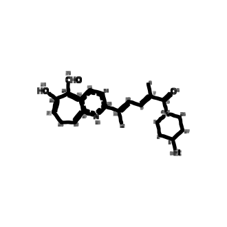 CCC1CCN(C(=O)/C(C)=C/C=C(\C)c2ccc3c(n2)=CCC=C(O)C=3C=O)CC1